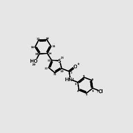 O=C(Nc1ccc(Cl)cc1)c1ccc(-c2ccccc2O)s1